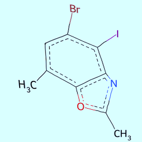 Cc1nc2c(I)c(Br)cc(C)c2o1